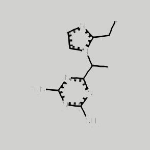 CCc1nccn1C(C)c1nc(N)nc(N)n1